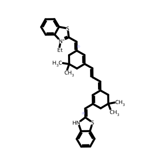 CC[n+]1c(/C=C2/C=C(C=CC=C3C=C(/C=C4/Nc5ccccc5S4)CC(C)(C)C3)CC(C)(C)C2)sc2ccccc21